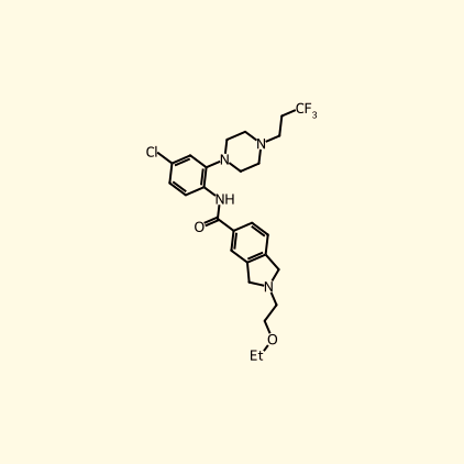 CCOCCN1Cc2ccc(C(=O)Nc3ccc(Cl)cc3N3CCN(CCC(F)(F)F)CC3)cc2C1